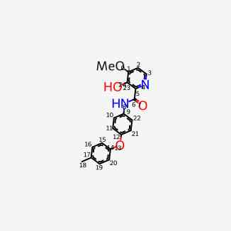 COc1ccnc(C(=O)Nc2ccc(Oc3ccc(C)cc3)cc2)c1O